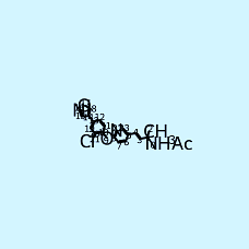 CC(=O)N[C@@H](C)/C=C/c1ccc(Oc2ccc(-c3cnoc3)cc2Cl)nc1